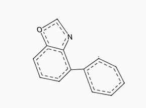 [c]1ccccc1-c1cccc2ocnc12